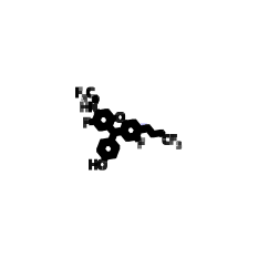 Oc1ccc(C2=c3cc(F)/c(=C\CCC(F)(F)F)cc3Oc3cc(NCC(F)(F)F)c(F)cc32)cc1